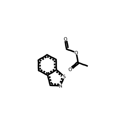 CC(=O)OC=O.c1ccc2sncc2c1